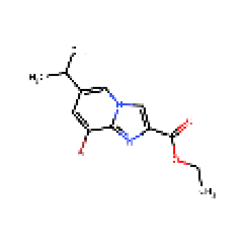 CCOC(=O)c1cn2cc(C(C)C)cc(Br)c2n1